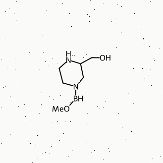 COBN1CCNC(CO)C1